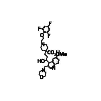 COc1ccc2ncc(CN3CCOCC3)c(C(O)CCC3(C(=O)O)CCN(CCOc4c(F)cc(F)cc4F)CC3)c2c1